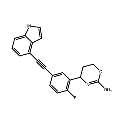 NC1=NC(c2cc(C#Cc3cccc4[nH]ccc34)ccc2F)CCO1